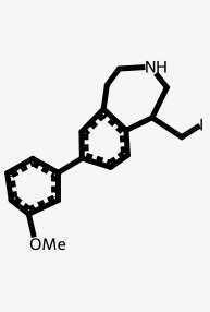 COc1cccc(-c2ccc3c(c2)CCNCC3CI)c1